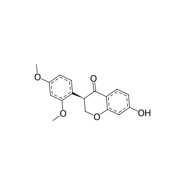 COc1ccc([C@@H]2COc3cc(O)ccc3C2=O)c(OC)c1